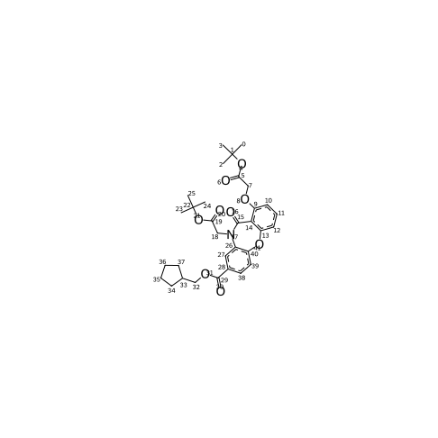 CC(C)(C)OC(=O)COc1cccc2c1C(=O)N(CC(=O)OC(C)(C)C)c1cc(C(=O)OCC3CCCC3)ccc1O2